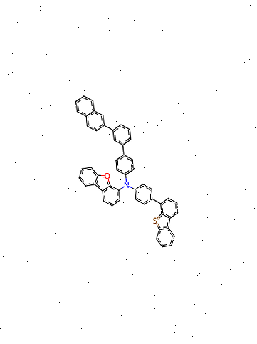 c1cc(-c2ccc(N(c3ccc(-c4cccc5c4sc4ccccc45)cc3)c3cccc4c3oc3ccccc34)cc2)cc(-c2ccc3ccccc3c2)c1